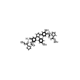 CC(C)(C)OC(=O)N1CCC[C@H]1C(=O)Nc1ccc(C2CCC(c3ccc(NC(=O)[C@@H]4CCCN4C(=O)OC(C)(C)C)c(N)c3)N2c2ccc(C(C)(C)C)cc2)cc1N